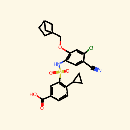 N#Cc1cc(NS(=O)(=O)c2cc(C(=O)O)ccc2C2CC2)c(OCC23CCC(C2)C3)cc1Cl